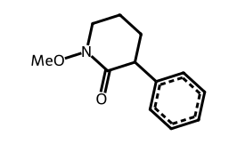 CON1CCCC(c2ccccc2)C1=O